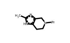 Cc1nc2c([nH]1)CCN(C(C)C)C2